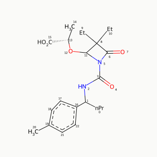 CCCC(NC(=O)N1C(=O)C(CC)(CC)C1O[C@@H](C)C(=O)O)c1ccc(C)cc1